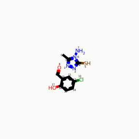 Cc1nnc(S)n1N.O=Cc1cc(Cl)ccc1O